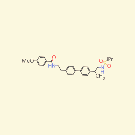 COc1ccc(C(=O)NCCc2ccc(-c3ccc(C(C)CNS(=O)(=O)C(C)C)cc3)cc2)cc1